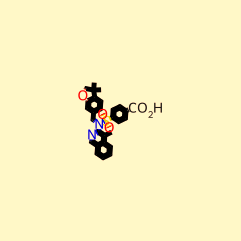 Cc1c(N(Cc2ccc3c(c2)OCC3(C)C)S(=O)(=O)c2ccc(C(=O)O)cc2)ncc2ccccc12